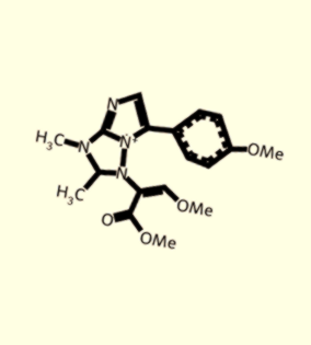 COC=C(C(=O)OC)N1C(C)N(C)C2=NC=C(c3ccc(OC)cc3)[N+]21